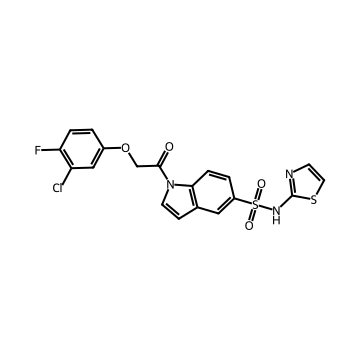 O=C(COc1ccc(F)c(Cl)c1)n1ccc2cc(S(=O)(=O)Nc3nccs3)ccc21